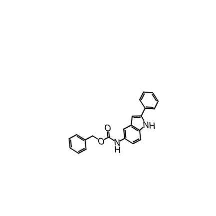 O=C(Nc1ccc2[nH]c(-c3ccccc3)cc2c1)OCc1ccccc1